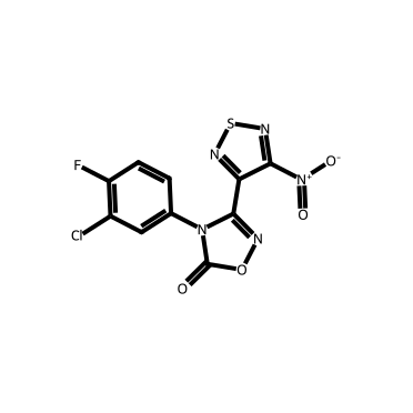 O=c1onc(-c2nsnc2[N+](=O)[O-])n1-c1ccc(F)c(Cl)c1